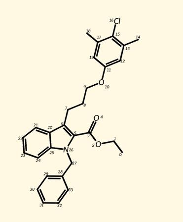 CCOC(=O)c1c(CCCOc2cc(C)c(Cl)c(C)c2)c2ccccc2n1Cc1ccccc1